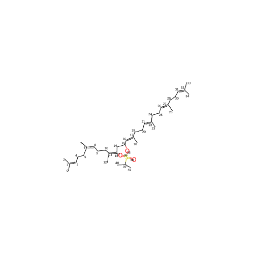 CC(C)=CCCC(C)=CCCC(C)=CCC(/C=C(\C)CC/C=C(\C)CC/C=C(\C)CCC=C(C)C)OS(=O)(=O)C(C)C